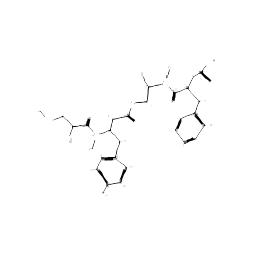 COCC(N)C(=O)N(C)C(CC(=O)NCC(C)N(C)C(=O)C(CC(=O)O)Cc1ccccc1)Cc1ccc(Cl)cc1